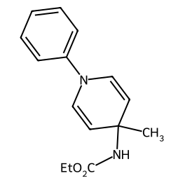 CCOC(=O)NC1(C)C=CN(c2ccccc2)C=C1